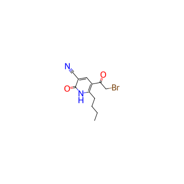 CCCCc1[nH]c(=O)c(C#N)cc1C(=O)CBr